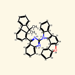 CC1(C)c2ccccc2-c2cccc(-c3nc(-n4c5ccccc5c5ccc6oc7ccccc7c6c54)nc4ccccc34)c21